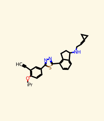 C#Cc1cc(-c2nnc(-c3cccc4c3CCC4NCC=C3CC3)s2)ccc1OC(C)C